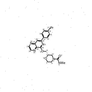 CNC(=O)N1CCO[C@H](COc2nc(-c3ccc(C(C)C)cc3)cc3nccnc23)C1